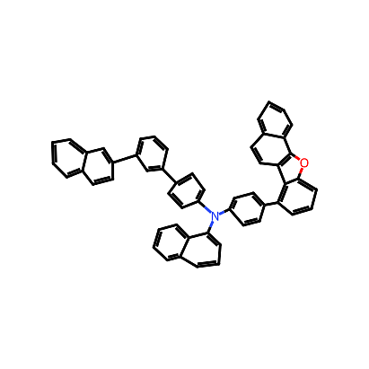 c1cc(-c2ccc(N(c3ccc(-c4cccc5oc6c7ccccc7ccc6c45)cc3)c3cccc4ccccc34)cc2)cc(-c2ccc3ccccc3c2)c1